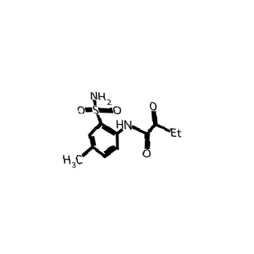 CCC(=O)C(=O)Nc1ccc(C)cc1S(N)(=O)=O